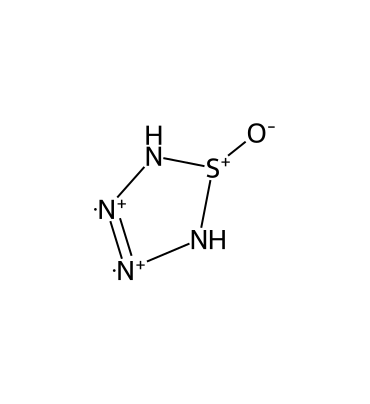 [O-][S+]1N[N+]=[N+]N1